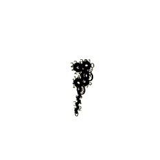 CCCCCCCCOc1cccc2c3c(ccc12)OCC(c1ccccc1)(c1ccccc1)C3